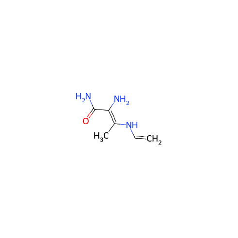 C=CN/C(C)=C(\N)C(N)=O